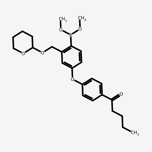 CCCCC(=O)c1ccc(Oc2ccc(B(OC)OC)c(COC3CCCCO3)c2)cc1